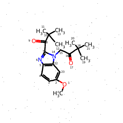 COc1ccc2nc(C(=O)C(C)(C)C)n(CC(=O)C(C)(C)C)c2c1